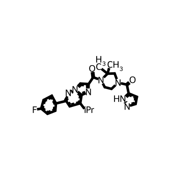 CC(C)c1cc(-c2ccc(F)cc2)nn2cc(C(=O)N3CCN(C(=O)c4ccn[nH]4)CC3(C)C)nc12